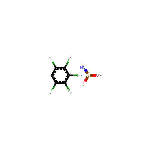 Fc1cc(F)c(F)c(F)c1F.N=S(=O)=O